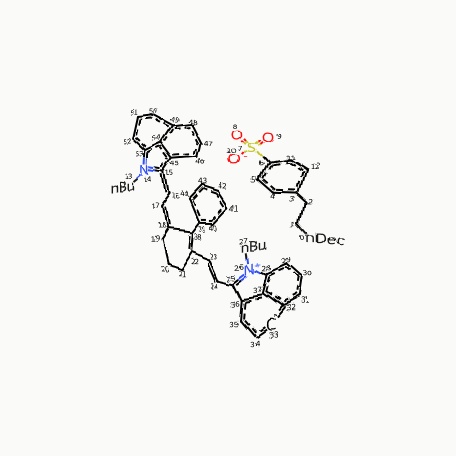 CCCCCCCCCCCCc1ccc(S(=O)(=O)[O-])cc1.CCCCn1c(=CC=C2CCCC(C=CC3=[N+](CCCC)c4cccc5cccc3c45)=C2c2ccccc2)c2cccc3cccc1c32